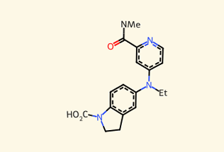 CCN(c1ccnc(C(=O)NC)c1)c1ccc2c(c1)CCN2C(=O)O